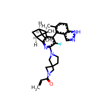 C=CC(=O)N1CC2(CCN(c3nc4c(c(-c5c(C)ccc6[nH]ncc56)c3F)C[C@@H]3C[C@H]4C3(C)C)C2)C1